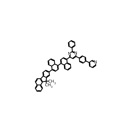 CC1(C)c2cc(C3=CC=C(c4ccc(-c5cc(-c6ccc(-c7cccnc7)cc6)nc(-c6ccccc6)n5)c5ccccc45)C4C=CC=CC34)ccc2-c2ccc3ccccc3c21